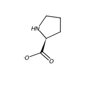 [O]C(=O)[C@@H]1CCCN1